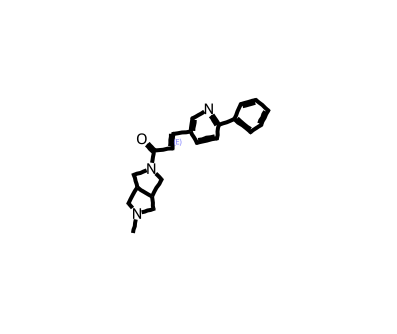 CN1CC2CN(C(=O)/C=C/c3ccc(-c4ccccc4)nc3)CC2C1